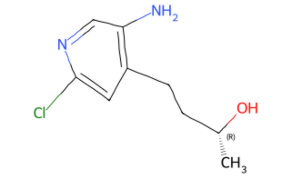 C[C@@H](O)CCc1cc(Cl)ncc1N